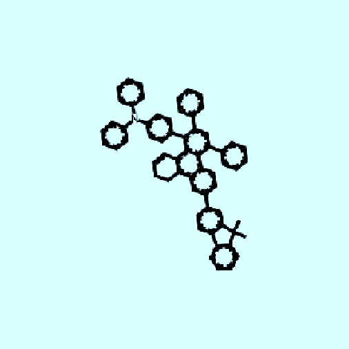 CC1(C)c2ccccc2-c2ccc(-c3ccc4c(c3)c3c(c5c(-c6ccc(N(c7ccccc7)c7ccccc7)cc6)c(-c6ccccc6)cc(-c6ccccc6)c54)C=CCC3)cc21